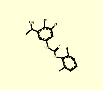 Cc1cccc(C)c1NC(=O)Nc1cc(Cl)c(O)c(C(C)O)c1